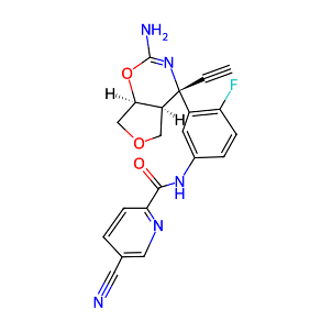 C#C[C@]1(c2cc(NC(=O)c3ccc(C#N)cn3)ccc2F)N=C(N)O[C@@H]2COC[C@@H]21